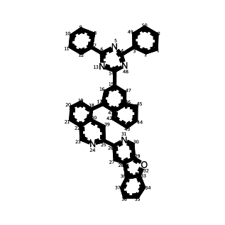 c1ccc(-c2nc(-c3ccccc3)nc(-c3cc(-c4cccc5cnc(-c6cc7c(cn6)oc6ccccc67)cc45)c4ccccc4c3)n2)cc1